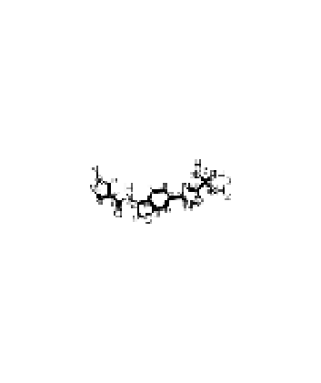 BC(B)(B)c1nc(-c2ccc3c(c2)OC[C@H]3NC(=O)c2cnn(C)c2)no1